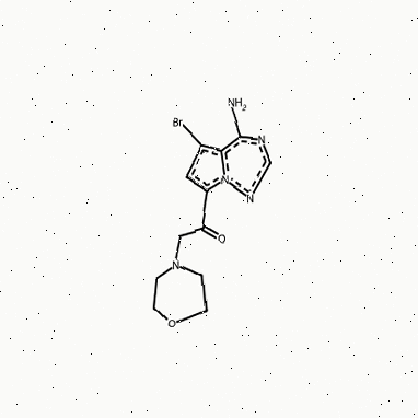 Nc1ncnn2c(C(=O)CN3CCOCC3)cc(Br)c12